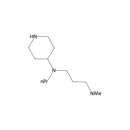 CCCN(CCCNC)C1CCNCC1